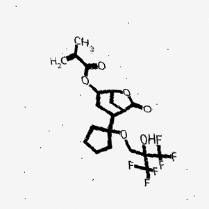 C=C(C)C(=O)OC1CC(C2(OCC(O)(C(F)(F)F)C(F)(F)F)CCCC2)C2CC1OC2=O